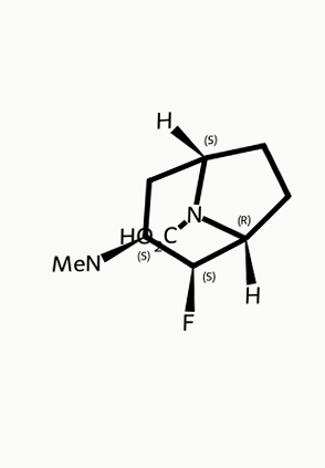 CN[C@H]1C[C@@H]2CC[C@H]([C@H]1F)N2C(=O)O